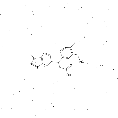 CNCc1cc(C(CC(=O)O)c2ccc3c(c2)nnn3C)ccc1Cl